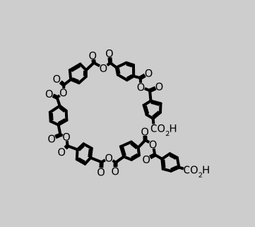 O=C(O)c1ccc(C(=O)OC(=O)c2ccc(C(=O)OC(=O)c3ccc(C(=O)OC(=O)c4ccc(C(=O)OC(=O)c5ccc(C(=O)OC(=O)c6ccc(C(=O)OC(=O)c7ccc(C(=O)O)cc7)cc6)cc5)cc4)cc3)cc2)cc1